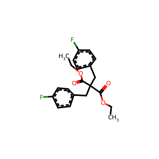 CCOC(=O)C(Cc1ccc(F)cc1)(Cc1ccc(F)cc1)C(=O)OCC